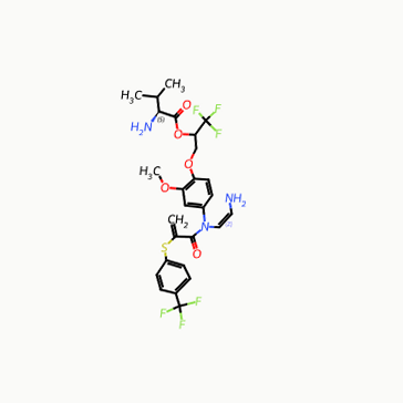 C=C(Sc1ccc(C(F)(F)F)cc1)C(=O)N(/C=C\N)c1ccc(OCC(OC(=O)[C@@H](N)C(C)C)C(F)(F)F)c(OC)c1